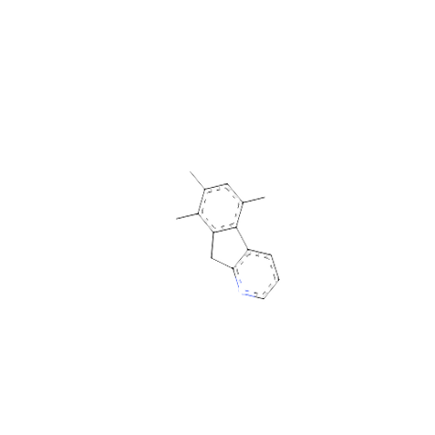 Cc1cc(C)c2c(c1C)Cc1ncccc1-2